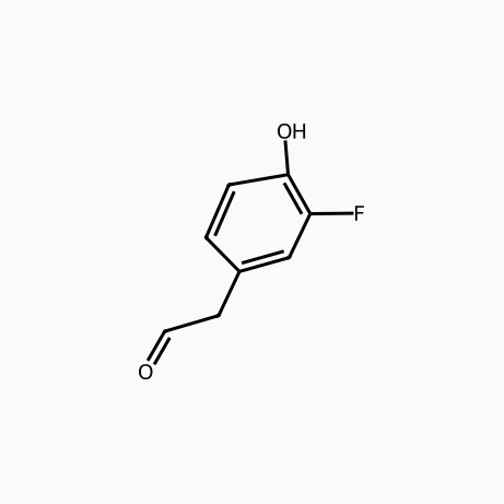 O=CCc1ccc(O)c(F)c1